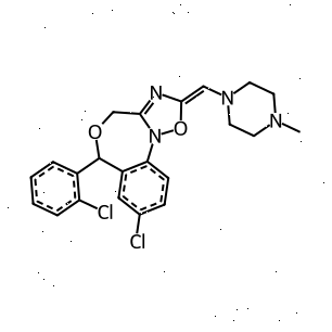 CN1CCN(C=C2N=C3COC(c4ccccc4Cl)c4cc(Cl)ccc4N3O2)CC1